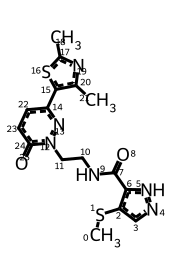 CSc1cn[nH]c1C(=O)NCCn1nc(-c2sc(C)nc2C)ccc1=O